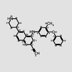 C#Cc1nc(Nc2ccc(Oc3ccccc3)c(C)c2)c2cc(C3CCNCC3)ccc2n1